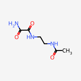 CC(=O)NCCNC(=O)C(N)=O